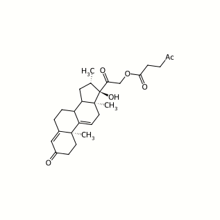 CC(=O)CCC(=O)OCC(=O)[C@@]1(O)[C@@H](C)CC2C3CCC4=CC(=O)CC[C@]4(C)C3=CC[C@@]21C